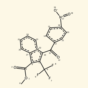 COC(=O)c1c(C(F)(F)F)c(C(=O)c2ccc([N+](=O)[O-])cc2)n2ccccc12